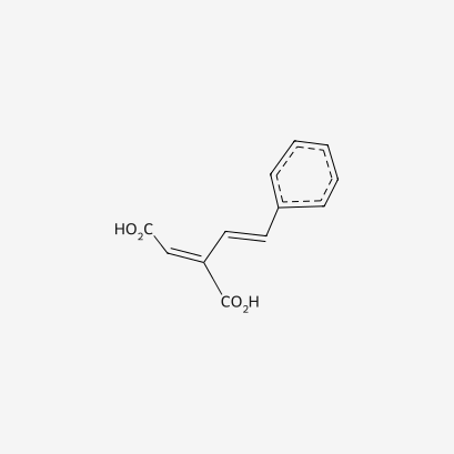 O=C(O)/C=C(\C=C\c1ccccc1)C(=O)O